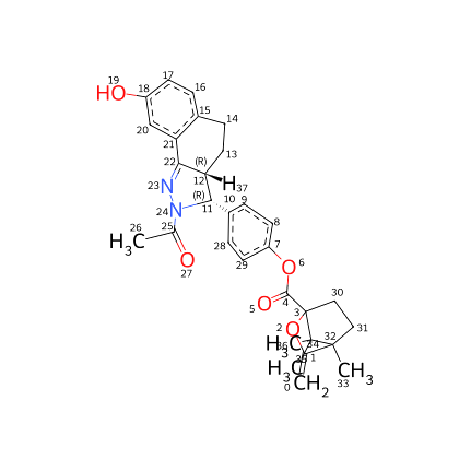 C=C1OC2(C(=O)Oc3ccc([C@H]4[C@H]5CCc6ccc(O)cc6C5=NN4C(C)=O)cc3)CCC1(C)C2(C)C